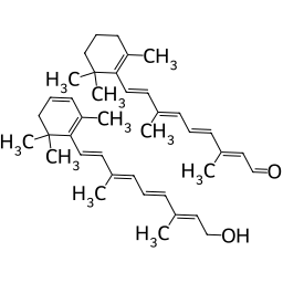 CC1=C(/C=C/C(C)=C/C=C/C(C)=C/C=O)C(C)(C)CCC1.CC1=C(/C=C/C(C)=C/C=C/C(C)=C/CO)C(C)(C)CC=C1